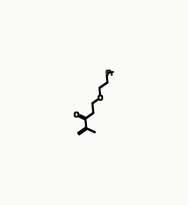 C=C(C)C(=O)CCOCCC(C)C